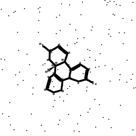 IC1=CC=C2C(C1)C1=C(C=CCC1)[C@H]1CC(I)C=CC21